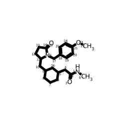 CNC(=O)CC1CCCC(CC2CCC(=O)N2Cc2ccc(OC)cc2)C1